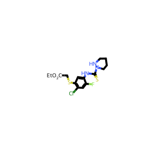 CCOC(=O)CSc1cc(NC(=S)N2CCCCN2)c(F)cc1Cl